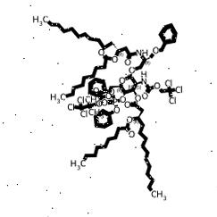 CCCCCCCCCCC[C@H](CC(=O)N[C@H](COCc1ccccc1)CO[C@H]1O[C@H](COC(=O)OC(C)(C)C(Cl)(Cl)Cl)[C@@H](OP(=O)(Oc2ccccc2)Oc2ccccc2)[C@H](OC(=O)C[C@@H](CCCCCCCCCCC)OC(=O)CCCCCCCC)[C@@H]1NC(=O)OCC(Cl)(Cl)Cl)OC(=O)CCCCCCCC